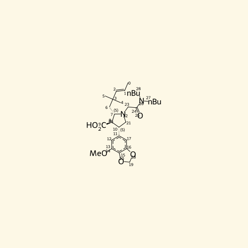 CC=CC(C)(C)C[C@H]1[C@H](C(=O)O)[C@@H](c2cc(OC)c3c(c2)OCO3)CN1CC(=O)N(CCCC)CCCC